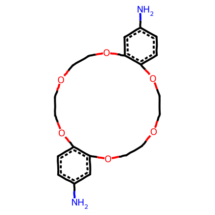 Nc1ccc2c(c1)OCCOCCOc1ccc(N)cc1OCCOCCO2